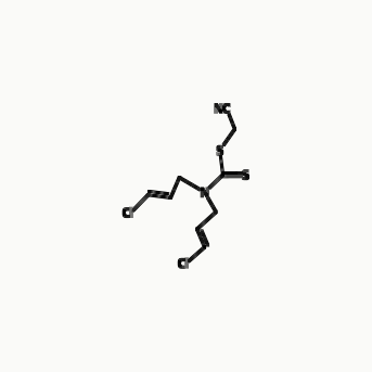 N#CCSC(=S)N(CC=CCl)CC=CCl